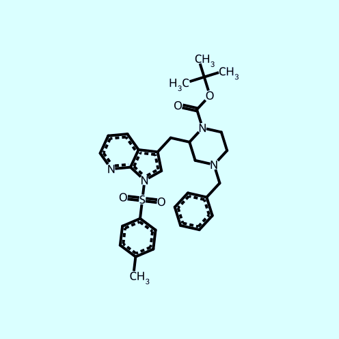 Cc1ccc(S(=O)(=O)n2cc(CC3CN(Cc4ccccc4)CCN3C(=O)OC(C)(C)C)c3cccnc32)cc1